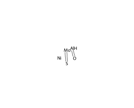 [Ni].[O]=[AlH].[S]=[Mo]